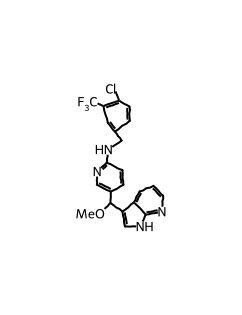 COC(c1ccc(NCc2ccc(Cl)c(C(F)(F)F)c2)nc1)c1c[nH]c2ncccc12